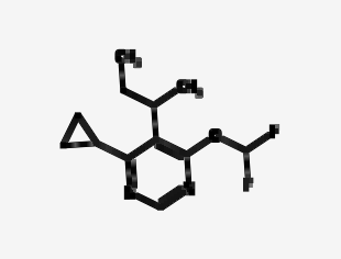 CCC(C)c1c(OC(F)F)ncnc1C1CC1